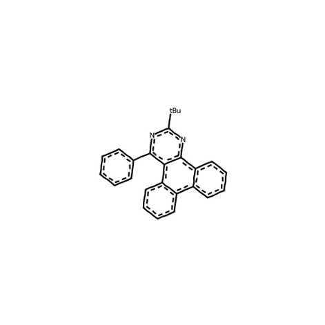 CC(C)(C)c1nc(-c2ccccc2)c2c3ccccc3c3ccccc3c2n1